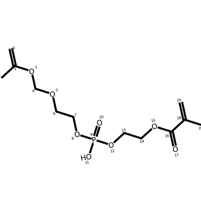 C=C(C)OCOCCOP(=O)(O)OCCOC(=O)C(=C)C